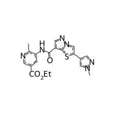 CCOC(=O)c1cnc(C)c(NC(=O)c2cnn3cc(-c4cnn(C)c4)sc23)c1